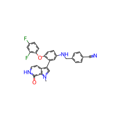 Cn1cc(-c2cc(NCc3ccc(C#N)cc3)ccc2Oc2ccc(F)cc2F)c2cc[nH]c(=O)c21